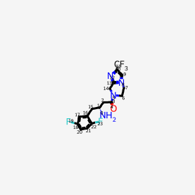 N[C@@H](CC(=O)N1CCn2cc(C(F)(F)F)nc2C1)Cc1cc(F)ccc1F